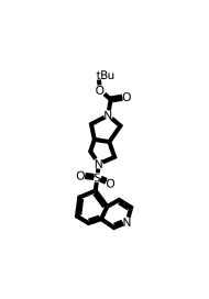 CC(C)(C)OC(=O)N1CC2CN(S(=O)(=O)c3cccc4cnccc34)CC2C1